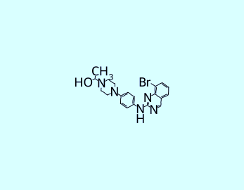 CC(O)N1CCN(c2ccc(Nc3ncc4cccc(Br)c4n3)cc2)CC1